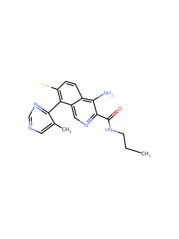 CCCNC(=O)c1ncc2c(-c3ncncc3C)c(F)ccc2c1N